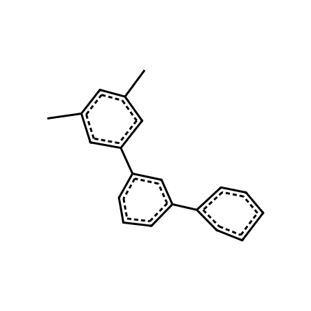 Cc1cc(C)cc(-c2cccc(-c3ccccc3)c2)c1